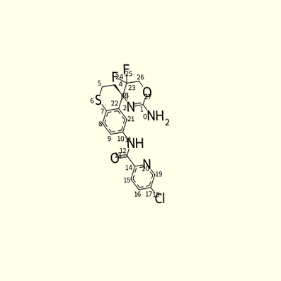 NC1=N[C@@]2(CCSc3ccc(NC(=O)c4ccc(Cl)cn4)cc32)C(F)(F)CO1